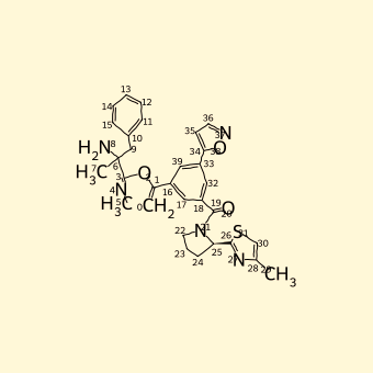 C=C(O/C(=N\C)C(C)(N)Cc1ccccc1)c1cc(C(=O)N2CCC[C@@H]2c2nc(C)cs2)cc(-c2ccno2)c1